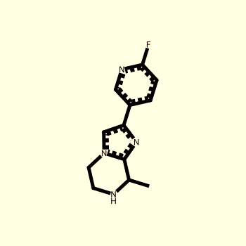 CC1NCCn2cc(-c3ccc(F)nc3)nc21